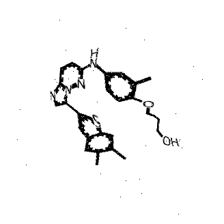 Cc1cc2cc(-c3cnc4ccc(Nc5ccc(OCCCO)c(C)c5)nn34)sc2cc1C